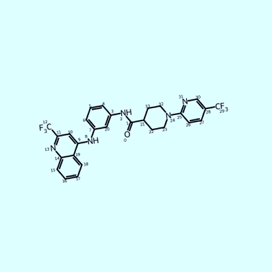 O=C(Nc1cccc(Nc2cc(C(F)(F)F)nc3ccccc23)c1)C1CCN(c2ccc(C(F)(F)F)cn2)CC1